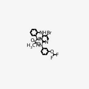 CS(=O)(=O)Nc1ccccc1Nc1nc(Nc2cccc(OC(F)F)c2)ncc1Br